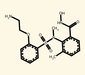 Cc1cccc(C(=O)NO)c1N(C)S(=O)(=O)c1ccccc1OCCN